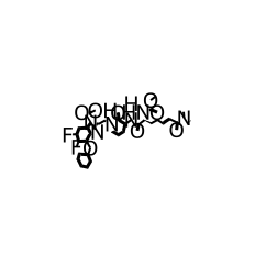 COC(=O)N[C@@H](CC/C=C/C(=O)N(C)C)C(=O)Nc1cccn(Cc2nc3c(Oc4ccccc4)c(F)c(F)cc3n2C(=O)O)c1=O